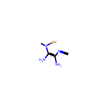 C=N/C(N)=C(/N)N(C)S